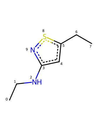 CCNc1cc(CC)sn1